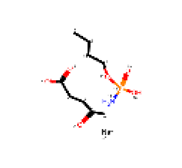 CC(=O)CCC(=O)[O-].CCCCOP(N)(=O)O.[Na+]